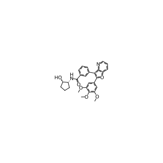 COc1cc(-c2oc3cccnc3c2-c2cccc(C(=O)N[C@@H]3CCC[C@H]3O)c2)cc(OC)c1OC